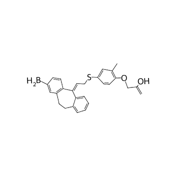 Bc1ccc2c(c1)CCc1ccccc1/C2=C\CSc1ccc(OCC(=C)O)c(C)c1